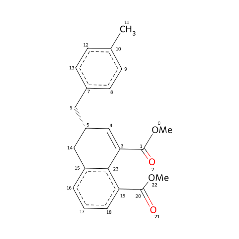 COC(=O)C1=C[C@@H](Cc2ccc(C)cc2)Cc2cccc(C(=O)OC)c21